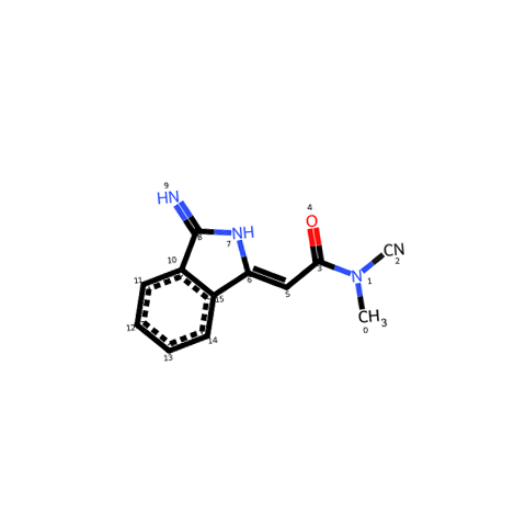 CN(C#N)C(=O)C=C1NC(=N)c2ccccc21